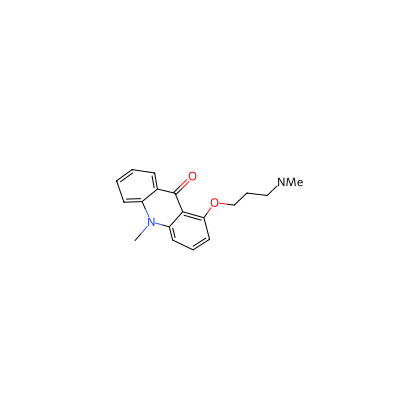 CNCCCOc1cccc2c1c(=O)c1ccccc1n2C